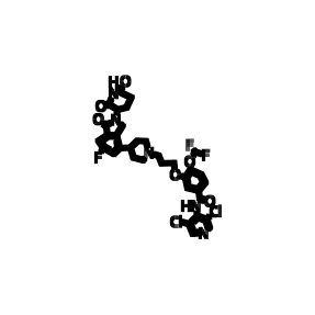 O=C1CCC(N2Cc3c(cc(F)cc3C3CCN(CCCOc4cc(C(=O)Nc5c(Cl)cncc5Cl)ccc4OC(F)F)CC3)C2=O)C(=O)N1